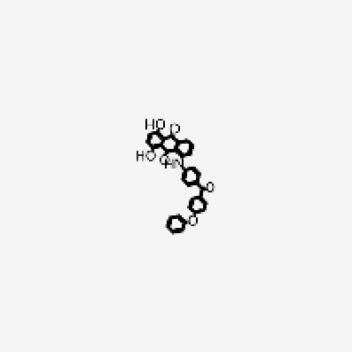 O=C(c1ccc(Nc2cccc3c2C(=O)c2c(O)ccc(O)c2C3=O)cc1)c1ccc(Oc2ccccc2)cc1